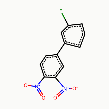 O=[N+]([O-])c1ccc(-c2cccc(F)c2)cc1[N+](=O)[O-]